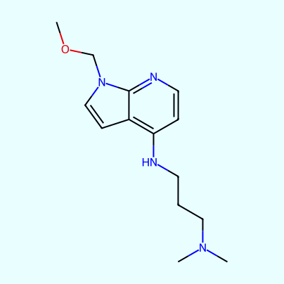 COCn1ccc2c(NCCCN(C)C)ccnc21